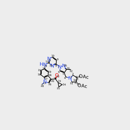 CC(=O)O[C@H]1CN(Cc2cn(-c3ccnc(Nc4ccc5c(c4)c(C(=O)C4CC4)cn5C)n3)nc2C)C[C@H]1OC(C)=O